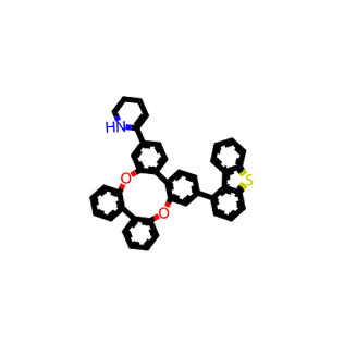 C1=C(c2ccc3c(c2)Oc2ccccc2-c2ccccc2Oc2cc(-c4cccc5sc6ccccc6c45)ccc2-3)NCCC1